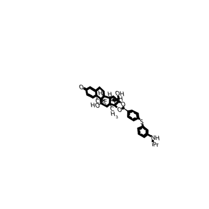 CC(C)Nc1cccc(Sc2ccc([C@@H]3O[C@@H]4C[C@H]5[C@@H]6CCC7=CC(=O)C=C[C@]7(C)[C@@]6(F)[C@@H](O)C[C@]5(C)[C@]4(C(=O)CO)O3)cc2)c1